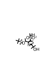 CC(O[Si](C)(C)C(C)(C)C)c1nc(C(C)(C)O)sc1S(N)(=O)=O